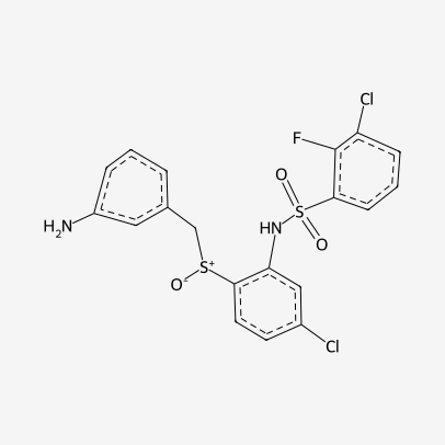 Nc1cccc(C[S+]([O-])c2ccc(Cl)cc2NS(=O)(=O)c2cccc(Cl)c2F)c1